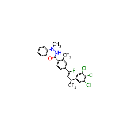 CN(NC(=O)c1ccc(C(F)=CC(c2cc(Cl)c(Cl)c(Cl)c2)C(F)(F)F)cc1C(F)(F)F)c1ccccc1